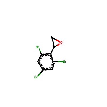 Brc1cc(Br)c(C2CO2)c(Br)c1